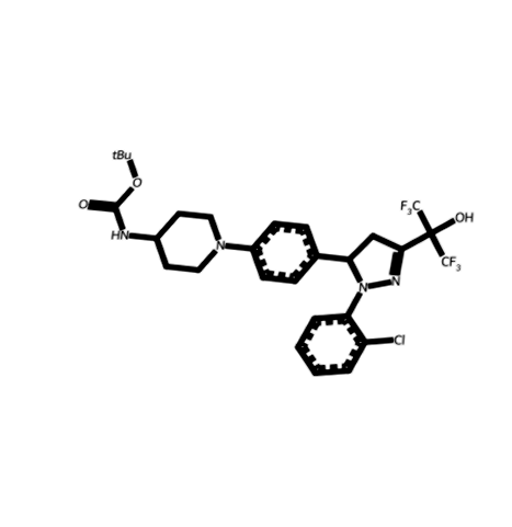 CC(C)(C)OC(=O)NC1CCN(c2ccc(C3CC(C(O)(C(F)(F)F)C(F)(F)F)=NN3c3ccccc3Cl)cc2)CC1